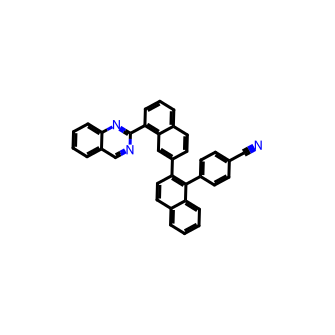 N#Cc1ccc(-c2c(-c3ccc4cccc(-c5ncc6ccccc6n5)c4c3)ccc3ccccc23)cc1